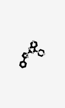 c1ccc(-c2ccn(-c3nc(N4CCOCC4)c4ccncc4n3)n2)cc1